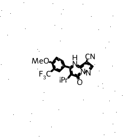 COc1ccc(-c2[nH]c3c(C#N)cnn3c(=O)c2C(C)C)cc1C(F)(F)F